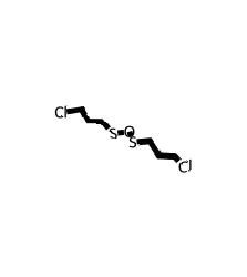 ClCCCSOSCCCCl